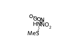 CSCCCCCNc1c([N+](=O)[O-])cnc2ccc(OCc3ccccc3)cc12